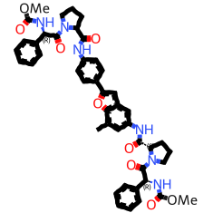 COC(=O)N[C@@H](C(=O)N1CCCC1C(=O)Nc1ccc(-c2cc3cc(NC(=O)[C@@H]4CCCN4C(=O)[C@H](NC(=O)OC)c4ccccc4)cc(C)c3o2)cc1)c1ccccc1